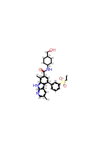 CCS(=O)(=O)c1cccc(-c2cc(C(=O)NC3CCC(CO)CC3)c(C)c3[nH]c4ncc(C)cc4c23)c1